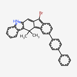 CC1(C)C2=c3cc(-c4ccc(-c5ccccc5)cc4)ccc3=C(Br)C2=Cc2[nH]c3ccccc3c21